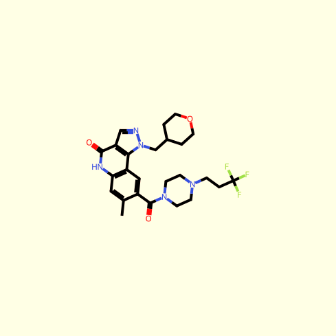 Cc1cc2[nH]c(=O)c3cnn(CC4CCOCC4)c3c2cc1C(=O)N1CCN(CCC(F)(F)F)CC1